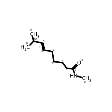 CNC(=O)CCCC/C=C/C(C)C